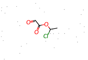 CC(Cl)OC(=O)C=O